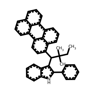 CCC(C)(C)C(c1c(-c2ccccc2)[nH]c2ccccc12)c1ccc2c3cccc4cccc(c5cccc1c52)c43